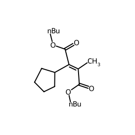 CCCCOC(=O)C(C)=C(C(=O)OCCCC)C1CCCC1